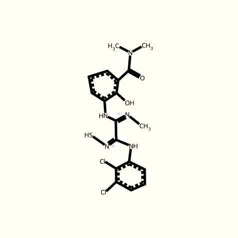 C/N=C(Nc1cccc(C(=O)N(C)C)c1O)\C(=N/S)Nc1cccc(Cl)c1Cl